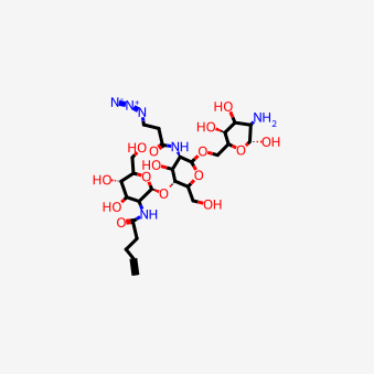 C#CCCC(=O)NC1C(O)[C@H](O)C(CO)O[C@H]1O[C@H]1C(CO)OC(OCC2O[C@@H](O)C(N)C(O)[C@@H]2O)[C@H](NC(=O)CCN=[N+]=[N-])C1O